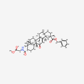 COC(=O)CNC(=O)[C@H]1CC[C@]2(C)[C@H]3C(=O)C=C4[C@@H]5C[C@@](C)(C(=O)OCc6ccccc6)CC[C@]5(C)CC[C@@]4(C)[C@]3(C)CC[C@H]2C1(C)C